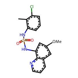 COc1cc(NS(=O)(=O)Nc2cccc(Cl)c2C)c2ncccc2c1